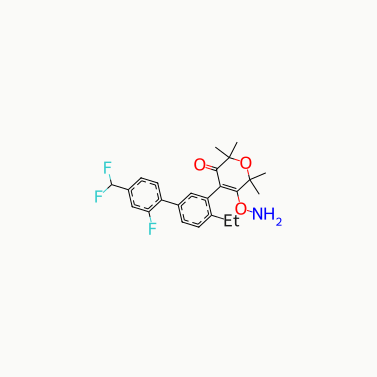 CCc1ccc(-c2ccc(C(F)F)cc2F)cc1C1=C(ON)C(C)(C)OC(C)(C)C1=O